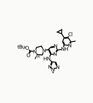 Cc1nc(Nc2ncc(N3CCN(C(=O)OC(C)(C)C)[C@H](C)C3)c(Nc3cnn(C)n3)n2)cc(C2CC2)c1Cl